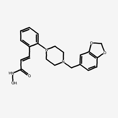 O=C(C=Cc1ccccc1N1CCN(Cc2ccc3c(c2)OCO3)CC1)NO